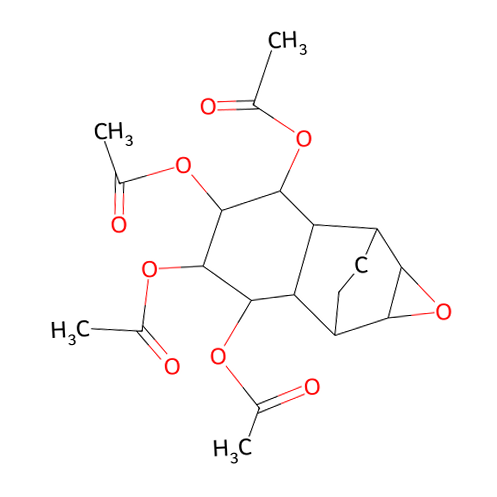 CC(=O)OC1C(OC(C)=O)C(OC(C)=O)C2C3CCC(C4OC34)C2C1OC(C)=O